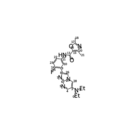 CCN(CC)c1cnc2nc(-c3cc(NC(=O)c4oc(C)nc4C)ccc3F)cn2c1